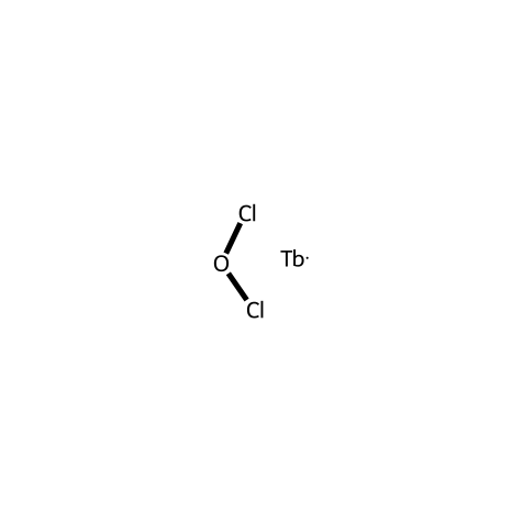 ClOCl.[Tb]